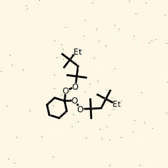 CCC(C)(C)CC(C)(C)OOC1(OOC(C)(C)CC(C)(C)CC)CCCCC1